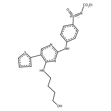 CCOC(=O)/N=[SH](=O)/c1ccc(Nc2ncc(-c3cccs3)c(NCCCCO)n2)cc1